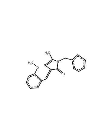 COc1ccccc1C=C1N=C(C)N(Cc2ccccc2)C1=O